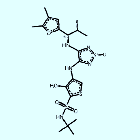 Cc1cc([C@H](Nc2n[s+]([O-])nc2Nc2csc(S(=O)(=O)NC(C)(C)C)c2O)C(C)C)oc1C